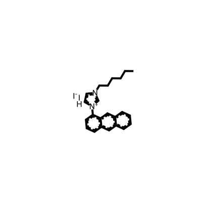 CCCCCCn1cc[n+](-c2cccc3cc4ccccc4cc23)c1.I.[I-]